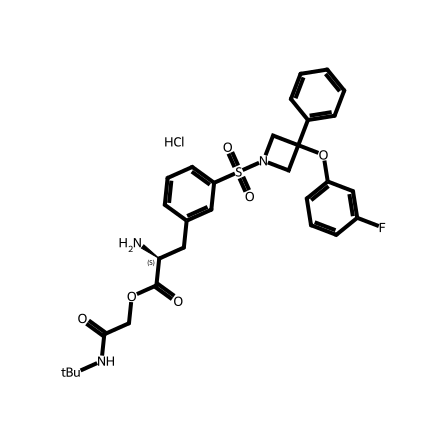 CC(C)(C)NC(=O)COC(=O)[C@@H](N)Cc1cccc(S(=O)(=O)N2CC(Oc3cccc(F)c3)(c3ccccc3)C2)c1.Cl